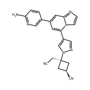 N#CC[C@]1(n2cc(-c3cc(-c4ccc(N)nc4)cc4nccn34)cn2)C[C@@H](C#N)C1